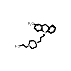 OCCN1CCN(CCC=S2c3ccccc3Cc3cc(C(F)(F)F)ccc32)CC1